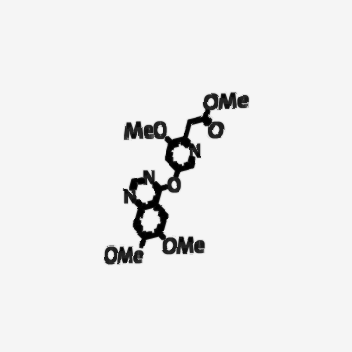 COC(=O)Cc1ncc(Oc2ncnc3cc(OC)c(OC)cc23)cc1OC